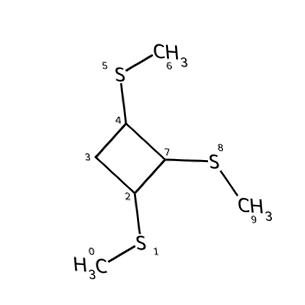 CSC1CC(SC)C1SC